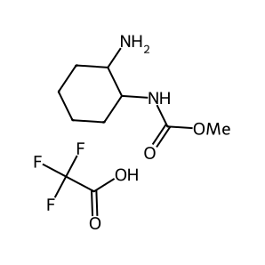 COC(=O)NC1CCCCC1N.O=C(O)C(F)(F)F